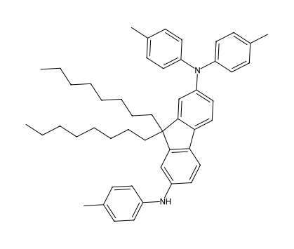 CCCCCCCCC1(CCCCCCCC)c2cc(Nc3ccc(C)cc3)ccc2-c2ccc(N(c3ccc(C)cc3)c3ccc(C)cc3)cc21